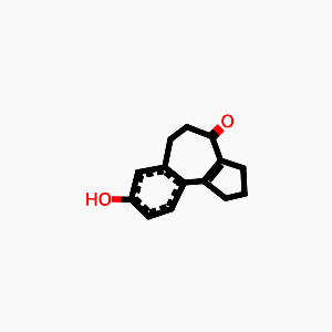 O=C1CCc2cc(O)ccc2C2=C1CCC2